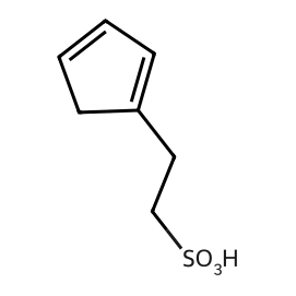 O=S(=O)(O)CCC1=CC=CC1